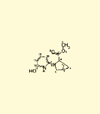 COC(=O)C1C2CC2CN1c1cccc(O)n1